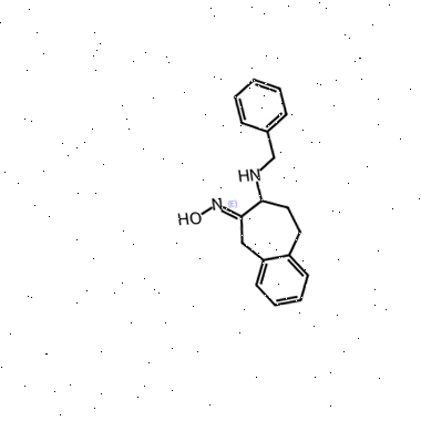 O/N=C1\Cc2ccccc2CCC1NCc1ccccc1